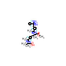 CCOC(=O)c1cc(C(C)Cc2cc(F)c(-c3c(C)nn4c(C(C)C)cc(C(=O)O)nc34)c(F)c2)n2nc(C)c(-c3c(F)ccc(Cc4[nH]nc(N)c4-c4c(F)cccc4F)c3F)c2n1